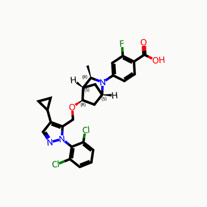 C[C@@H]1[C@@H]2C[C@@H](C[C@H]2OCc2c(C3CC3)cnn2-c2c(Cl)cccc2Cl)N1c1ccc(C(=O)O)c(F)c1